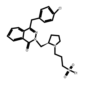 CCS(=O)(=O)CCCN1CCC[C@@H]1Cn1nc(Cc2ccc(Cl)cc2)c2ccccc2c1=O